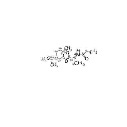 C=CC(=O)N[C@H](C)C(=O)OC1(C)CCC(C(C)C)CC1